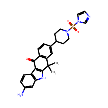 CC1(C)c2cc(C3CCN(S(=O)(=O)n4ccnc4)CC3)ccc2C(=O)c2c1[nH]c1cc(N)ccc21